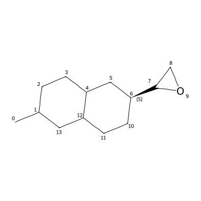 CC1CCC2C[C@@H](C3CO3)CCC2C1